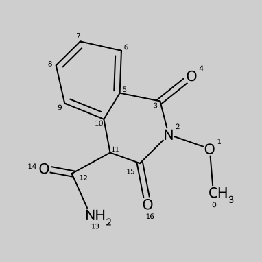 CON1C(=O)c2ccccc2C(C(N)=O)C1=O